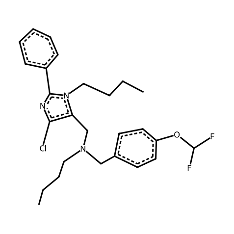 CCCCN(Cc1ccc(OC(F)F)cc1)Cc1c(Cl)nc(-c2ccccc2)n1CCCC